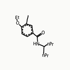 CCCC(CCC)NC(=O)c1ccc(OCC)c(C)c1